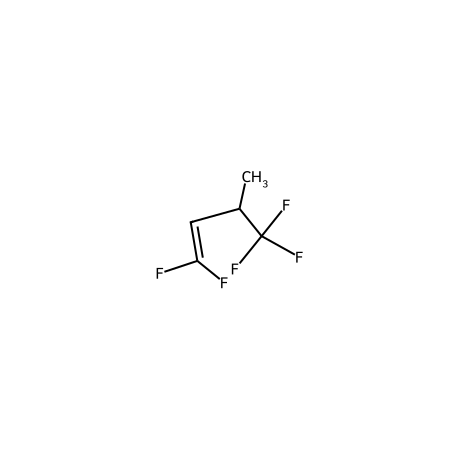 CC(C=C(F)F)C(F)(F)F